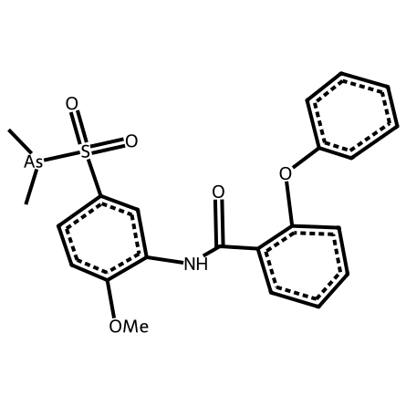 COc1ccc(S(=O)(=O)[As](C)C)cc1NC(=O)c1ccccc1Oc1ccccc1